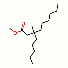 CCCCCCC(C)(CCCCC)CC(=O)OC